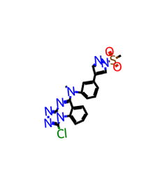 CN(c1cccc(-c2cnn(S(C)(=O)=O)c2)c1)c1nc2nnc(Cl)n2c2ccccc12